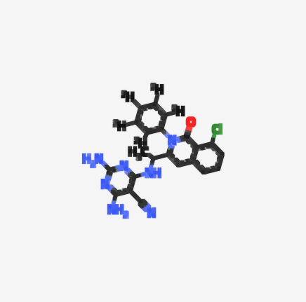 [2H]c1c([2H])c([2H])c(-n2c(C(C)Nc3nc(N)nc(N)c3C#N)cc3cccc(Cl)c3c2=O)c([2H])c1[2H]